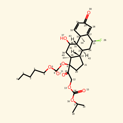 CCCCCOC(=O)O[C@]1(C(=O)COC(=O)OC(C)C)CC[C@H]2[C@@H]3C[C@H](F)C4=CC(=O)C=C[C@]4(C)[C@H]3C(O)C[C@@]21C